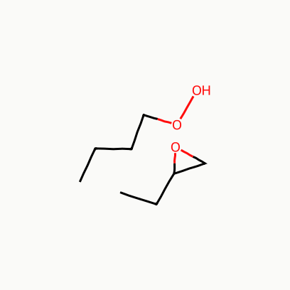 CCC1CO1.CCCCOO